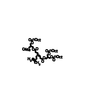 CCCCCCCCC(=O)OCC(COC)COC(=O)CCN(CCC(=O)OCC(COC(=O)CCCCCCCC)COC(=O)CCCCCCCC)CCN(C)C